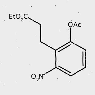 CCOC(=O)CCc1c(OC(C)=O)cccc1[N+](=O)[O-]